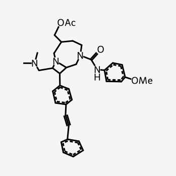 COc1ccc(NC(=O)N2CCC(COC(C)=O)CN3C(CN(C)C)C(c4ccc(C#Cc5ccccc5)cc4)C3C2)cc1